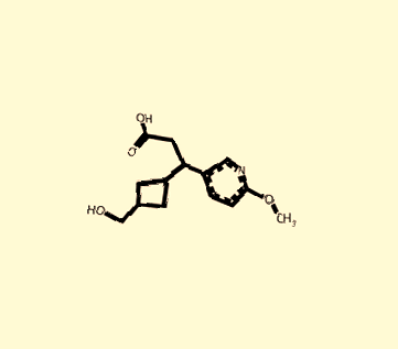 COc1ccc(C(CC(=O)O)C2CC(CO)C2)cn1